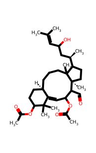 CC(=O)OC1/C=C2\[C@H](CCCC3(C)C([C@H](C)CC(O)C=C(C)C)CC[C@@]3(C)C1C=O)CCC(OC(C)=O)C2(C)C